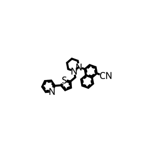 N#Cc1ccc(N2CCCCN2Cc2ccc(-c3ccccn3)s2)c2ccccc12